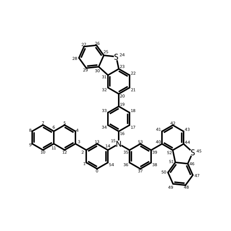 c1cc(-c2ccc3ccccc3c2)cc(N(c2ccc(-c3ccc4sc5ccccc5c4c3)cc2)c2cccc(-c3cccc4sc5ccccc5c34)c2)c1